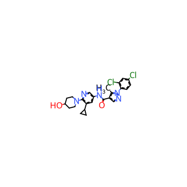 Cc1c(C(=O)Nc2cnc(N3CCC(O)CC3)c(C3CC3)c2)cnn1-c1ccc(Cl)cc1Cl